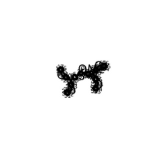 COc1cc(-c2ccc(N(c3ccc(Oc4ccccc4)cc3)c3ccc(Oc4ccccc4)cc3)cc2)sc1-c1ccc(N(c2ccc(Oc3ccccc3)cc2)c2ccc(Oc3ccccc3)cc2)cc1